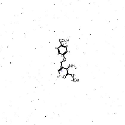 CC(C)(C)OC(=O)C(N)/C(=C\F)COc1ccc(C(=O)O)cc1